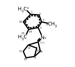 Cc1cc(C)c(/N=C2/CC3CCC2C3)c(C)c1